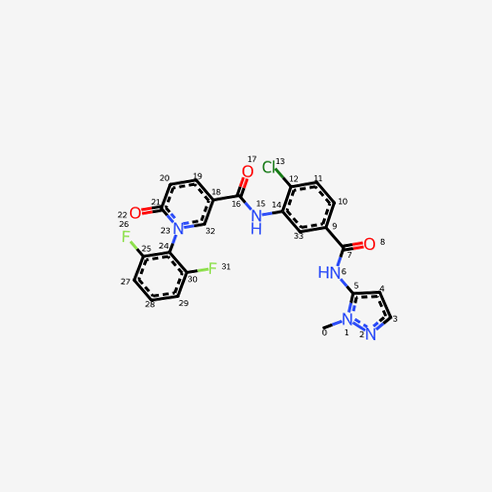 Cn1nccc1NC(=O)c1ccc(Cl)c(NC(=O)c2ccc(=O)n(-c3c(F)cccc3F)c2)c1